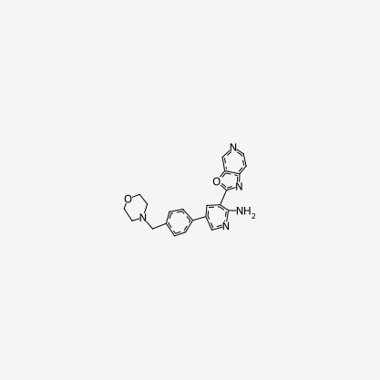 Nc1ncc(-c2ccc(CN3CCOCC3)cc2)cc1-c1nc2ccncc2o1